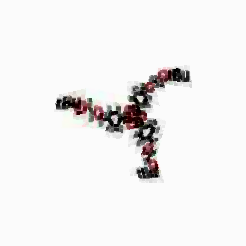 CC(C)(C)OCCOCc1ccc(B2OB(c3ccc(COCCOC(C)(C)C)cc3)OB(c3ccc(COCCOC(C)(C)C)cc3)O2)cc1